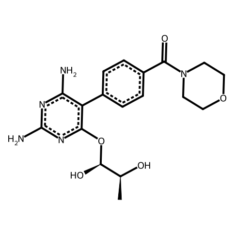 C[C@H](O)[C@@H](O)Oc1nc(N)nc(N)c1-c1ccc(C(=O)N2CCOCC2)cc1